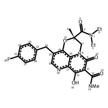 CCN(CC)C(=O)[C@]1(C)Cn2c(=O)c(C(=O)NC)c(O)c3ncc(Cc4ccc(F)cc4)c(c32)O1